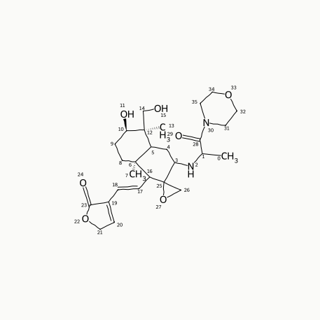 CC(NC1CC2[C@](C)(CC[C@@H](O)[C@@]2(C)CO)C(/C=C/C2=CCOC2=O)C12CO2)C(=O)N1CCOCC1